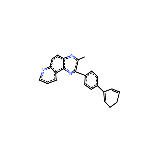 Cc1nc2ccc3ncccc3c2nc1-c1ccc(C2=CCCC=C2)cc1